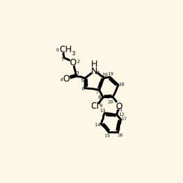 CCOC(=O)c1cc2c(Cl)c(Oc3ccccc3)ccc2[nH]1